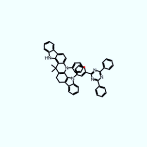 CC1(C)C2=C(c3c(c4ccccc4n3-c3cccc(-c4nc(-c5ccccc5)nc(-c5ccccc5)n4)c3)CC2)N(c2ccccc2)c2ccc3c([nH]c4ccccc43)c21